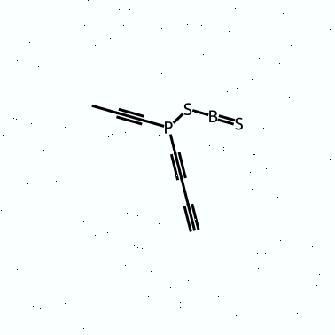 C#CC#CP(C#CC)SB=S